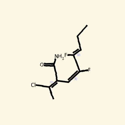 CC/C=C(F)/C(F)=C\C(C(N)=O)=C(/C)Cl